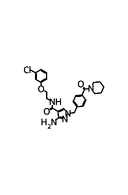 Nc1nn(Cc2ccc(C(=O)N3CCCCC3)cc2)cc1C(=O)NCCOc1cccc(Cl)c1